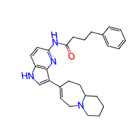 O=C(CCCc1ccccc1)Nc1ccc2[nH]cc(C3=CCN4CCCCC4CC3)c2n1